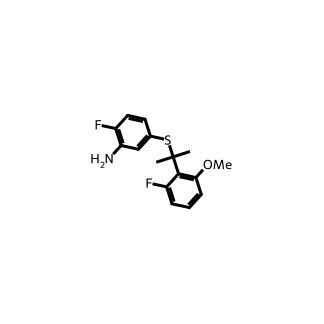 COc1cccc(F)c1C(C)(C)Sc1ccc(F)c(N)c1